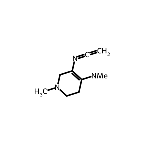 C=C=NC1=C(NC)CCN(C)C1